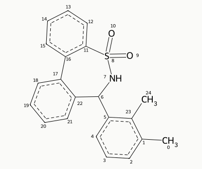 Cc1cccc(C2NS(=O)(=O)c3ccccc3-c3ccccc32)c1C